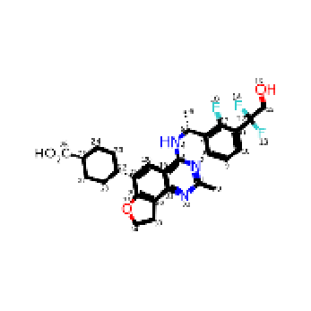 Cc1nc(N[C@H](C)c2cccc(C(F)(F)CO)c2F)c2cc([C@H]3CC[C@H](C(=O)O)CC3)c3c(c2n1)CCO3